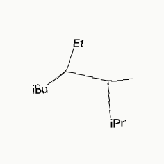 [CH2]C(C)C(C)C(CC)C(C)CC